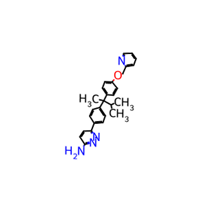 CC(C)C(C)(c1ccc(OCc2ccccn2)cc1)c1ccc(-c2ccc(N)nn2)cc1